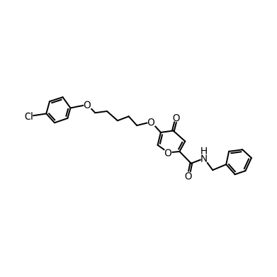 O=C(NCc1ccccc1)c1cc(=O)c(OCCCCCOc2ccc(Cl)cc2)co1